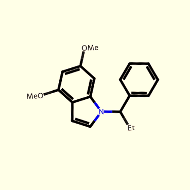 [CH2]CC(c1ccccc1)n1ccc2c(OC)cc(OC)cc21